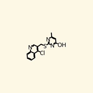 Cc1cc(O)nc(SCc2cnc3ccccc3c2Cl)n1